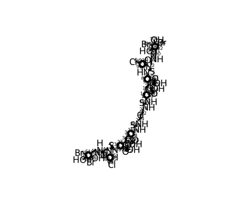 O=C(CN(C(=S)Nc1ccc(/C=C/c2ccc(NC(=S)NCCOCCNC(=S)Nc3ccc(/C=C/c4ccc(NC(=S)N(CC(=O)N/N=C/c5cc(Br)c(O)c(Br)c5O)c5ccc(Cl)cc5)cc4S(=O)(=O)O)c(S(=O)(=O)O)c3)cc2S(=O)(=O)O)c(S(=O)(=O)O)c1)c1ccc(Cl)cc1)N/N=C/c1cc(Br)c(O)c(Br)c1O